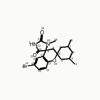 CC1CC(C)CC2(C1)CC1(C(=O)NC(=O)N1C)c1cc(Br)ccc1O2